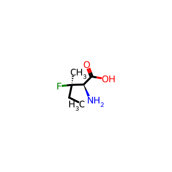 CC[C@@](C)(F)[C@H](N)C(=O)O